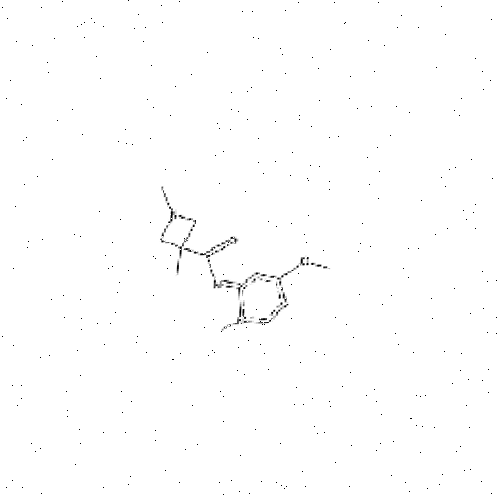 COc1ccn(C)/c(=N/C(=O)C2(C)CN(C)C2)c1